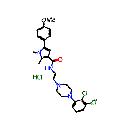 COc1ccc(-c2cc(C(=O)NCCN3CCN(c4cccc(Cl)c4Cl)CC3)c(C)n2C)cc1.Cl